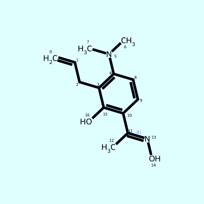 C=CCc1c(N(C)C)ccc(/C(C)=N/O)c1O